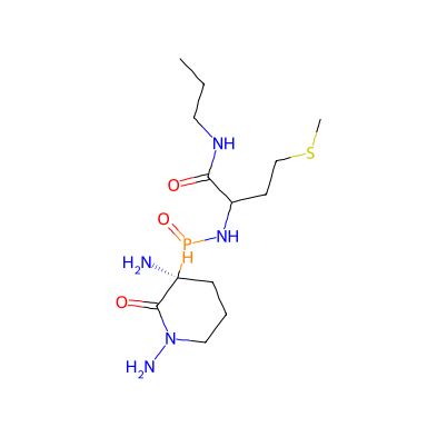 CCCNC(=O)C(CCSC)N[PH](=O)[C@@]1(N)CCCN(N)C1=O